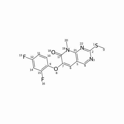 CSc1ncc2cc(Oc3ccc(F)cc3F)c(=O)n(C)c2n1